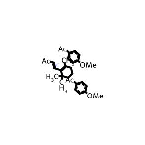 CC(=O)/C=C/C1=C(C)CCCC1(C)C.COc1ccc(C(C)=O)cc1.COc1ccc(C(C)=O)cc1